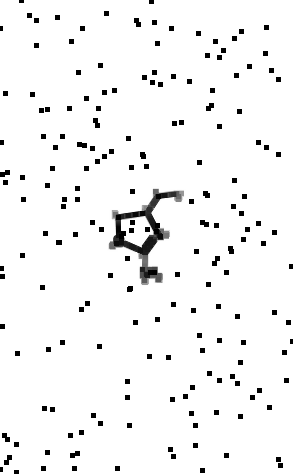 [CH2]CC1COC(N)=N1